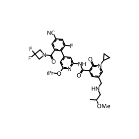 CO[C@@H](C)CNCc1cc(C(=O)Nc2cc(-c3c(F)cc(C#N)cc3C(=O)N3CC(F)(F)C3)cc(OC(C)C)n2)c(=O)n(C2CC2)c1